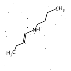 [CH2]CC=CNCCCC